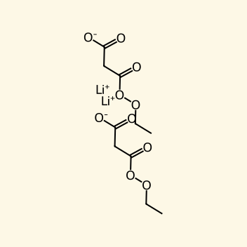 CCOOC(=O)CC(=O)[O-].CCOOC(=O)CC(=O)[O-].[Li+].[Li+]